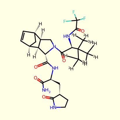 [2H]C([2H])([2H])C([C@H](NC(=O)C(F)(F)F)C(=O)N1C[C@H]2[C@@H]([C@H]1C(=O)N[C@@H](C[C@@H]1CCNC1=O)C(N)=O)[C@H]1C=C[C@@H]2C1)(C([2H])([2H])[2H])C([2H])([2H])[2H]